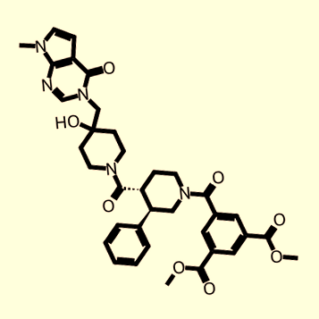 COC(=O)c1cc(C(=O)OC)cc(C(=O)N2CC[C@@H](C(=O)N3CCC(O)(Cn4cnc5c(ccn5C)c4=O)CC3)[C@H](c3ccccc3)C2)c1